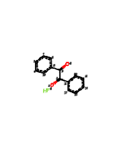 F.O=C(C(=O)c1ccccc1)c1ccccc1